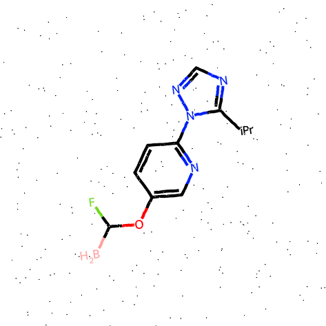 BC(F)Oc1ccc(-n2ncnc2C(C)C)nc1